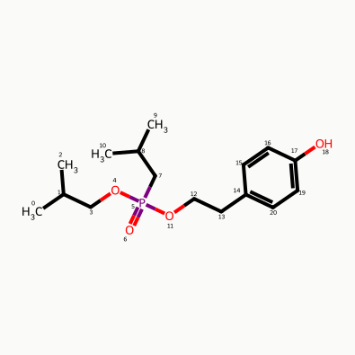 CC(C)COP(=O)(CC(C)C)OCCc1ccc(O)cc1